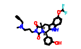 C#CCN(C)CCCN1C(=O)N2[C@H](c3cccc(O)c3)c3[nH]c4ccc(OC(F)F)cc4c3C[C@@]2(C)C1=O